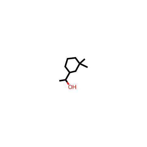 CC(O)C1CCCC(C)(C)C1